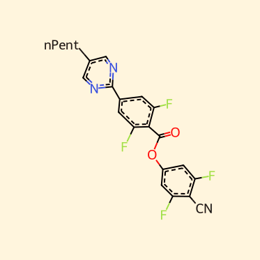 CCCCCc1cnc(-c2cc(F)c(C(=O)Oc3cc(F)c(C#N)c(F)c3)c(F)c2)nc1